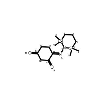 C[Si]1(C)CCC[Si](C)(C)N1N=C1CCC(=O)CC1=O